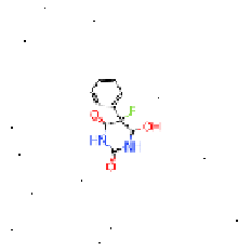 O=C1NC(=O)C(F)(c2ccccc2)C(O)N1